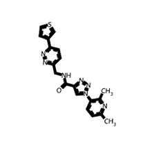 Cc1ccc(-n2cc(C(=O)NCc3ccc(-c4ccsc4)nn3)nn2)c(C)n1